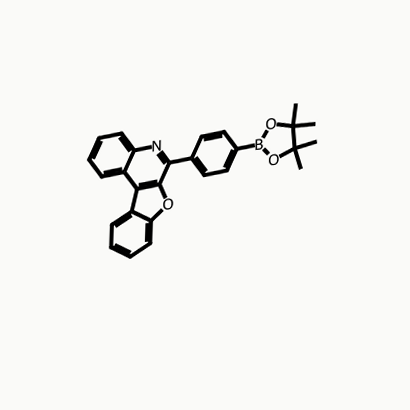 CC1(C)OB(c2ccc(-c3nc4ccccc4c4c3oc3ccccc34)cc2)OC1(C)C